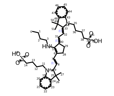 CCCCNC1=C(/C=C/C2=[N+](CCCCS(=O)(=O)O)c3ccccc3C2(C)C)CC/C1=C\C=C1\N(CCCCS(=O)(=O)O)c2ccccc2C1(C)C